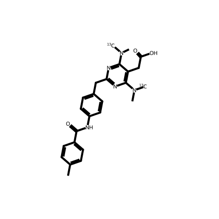 Cc1ccc(C(=O)Nc2ccc(Cc3nc(N(C)[13CH3])c(CC(=O)O)c(N(C)[13CH3])n3)cc2)cc1